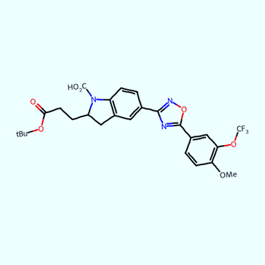 COc1ccc(-c2nc(-c3ccc4c(c3)CC(CCC(=O)OC(C)(C)C)N4C(=O)O)no2)cc1OC(F)(F)F